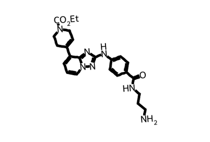 CCOC(=O)N1CC=C(c2cccn3nc(Nc4ccc(C(=O)NCCCN)cc4)nc23)CC1